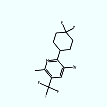 Cc1nc(C2CCC(F)(F)CC2)c(Br)cc1C(F)(F)F